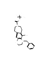 CC(C)(C)OC(=O)N1CCc2cc3c(c(Br)c2CC1)N(Cc1ccccc1)CCO3